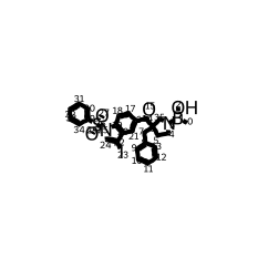 CB(O)N1CCC(Cc2ccccc2)(C(=O)c2ccc3c(c2)c(I)cn3S(=O)(=O)c2ccccc2)C1